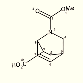 COC(=O)N1CC2C=CC1C(C(=O)O)C2